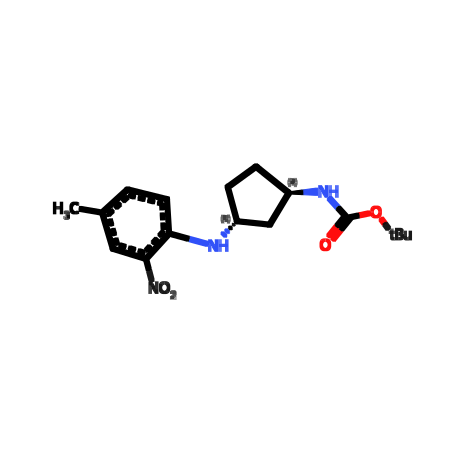 Cc1ccc(N[C@@H]2CC[C@@H](NC(=O)OC(C)(C)C)C2)c([N+](=O)[O-])c1